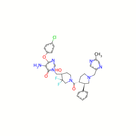 Cc1cnc(CN2CC[C@@H](C(=O)N3CC[C@](O)(Cn4cnc(Oc5ccc(Cl)cc5)c(N)c4=O)C(F)(F)C3)[C@H](c3ccccc3)C2)cn1